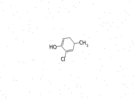 CC1C=C(Cl)C(O)=CC1